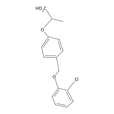 CC(Oc1ccc(COc2ccccc2Cl)cc1)C(=O)O